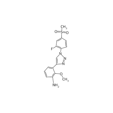 COc1c(N)cccc1-c1cn(-c2ccc(S(C)(=O)=O)cc2F)nn1